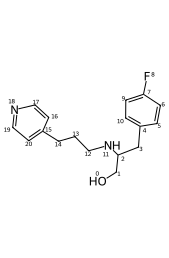 OCC(Cc1ccc(F)cc1)NCCCc1ccncc1